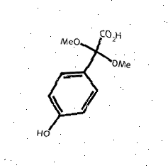 COC(OC)(C(=O)O)c1ccc(O)cc1